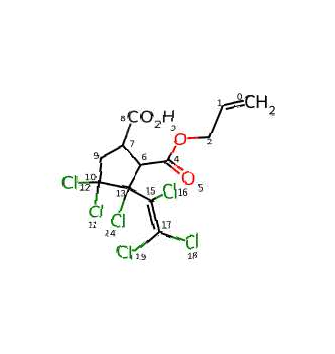 C=CCOC(=O)C1C(C(=O)O)CC(Cl)(Cl)C1(Cl)C(Cl)=C(Cl)Cl